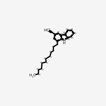 C#Cc1cc(CCCCCCCCCCCC)c2[nH]c3ccccc3c2c1